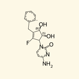 Nc1ccn(C2C(F)=C(Cc3[c]cccc3)[C@@H](O)[C@H]2O)c(=O)n1